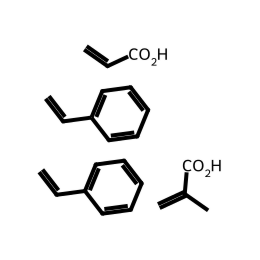 C=C(C)C(=O)O.C=CC(=O)O.C=Cc1ccccc1.C=Cc1ccccc1